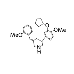 COc1ccccc1C=C1CNCC(c2ccc(OC)c(OC3CCCC3)c2)C1